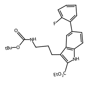 CCOC(=O)c1[nH]c2ccc(-c3ccccc3F)cc2c1CCCNC(=O)OC(C)(C)C